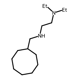 CCN(CC)CCNCC1CCCCCCC1